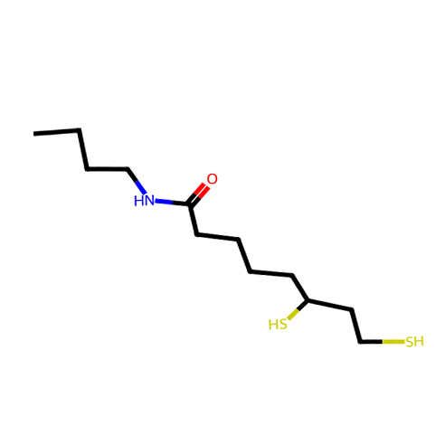 CCCCNC(=O)CCCCC(S)CCS